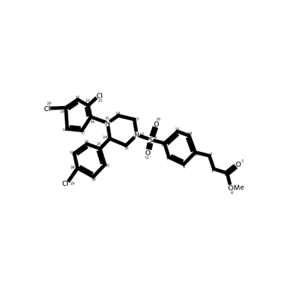 COC(=O)CCc1ccc(S(=O)(=O)N2CCN(c3ccc(Cl)cc3Cl)C(c3ccc(Cl)cc3)C2)cc1